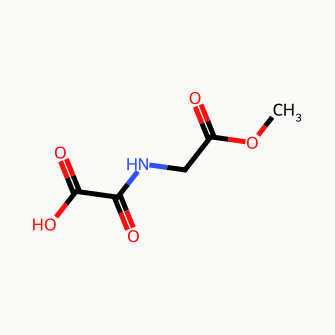 COC(=O)CNC(=O)C(=O)O